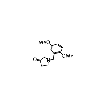 COc1ccc(OC)c(CN2CCC(=O)C2)c1